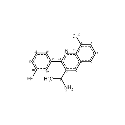 CC(N)c1cc2cccc(Cl)c2nc1-c1cccc(F)c1